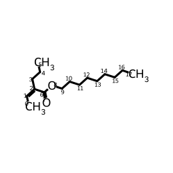 CC=C(CCC)C(=O)OCCCCCCCCC